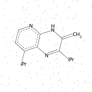 C=C1Nc2nccc(C(C)C)c2N=C1C(C)C